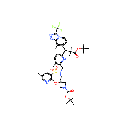 Cc1cnc2c(c1)S(=O)(=O)N(Cc1nc(C(c3ccn4c(C(F)(F)F)nnc4c3C)C(C)(C)C(=O)OC(C)(C)C)ccc1C)CC1(CN(C(=O)OC(C)(C)C)C1)O2